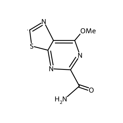 COc1nc(C(N)=O)nc2s[c]nc12